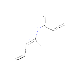 C=C/C=C(\C)NC(=C)C=C